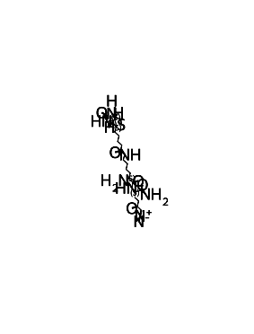 [N-]=[N+]=CC(=O)CC[C@H](NC(=O)[C@@H](N)CCCCNC(=O)CCCC[C@@H]1SC[C@H]2NC(=O)N[C@@H]12)C(N)=O